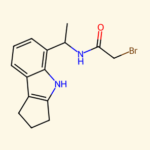 CC(NC(=O)CBr)c1cccc2c3c([nH]c12)CCC3